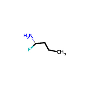 CCC[C@@H](N)F